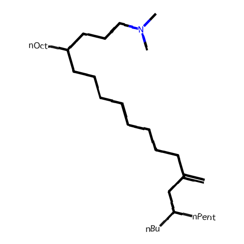 C=C(CCCCCCCCC(CCCCCCCC)CCCN(C)C)CC(CCCC)CCCCC